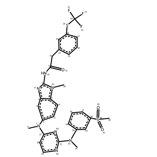 CN(c1ccc2c(c1)nc(NC(=O)Cc1cccc(SC(F)(F)F)c1)n2C)c1ccnc(N(C)c2cccc(S(C)(=O)=O)c2)n1